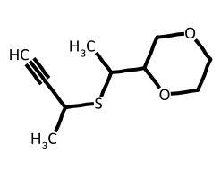 C#CC(C)SC(C)C1COCCO1